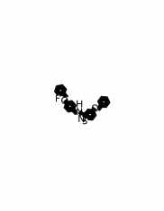 Fc1ccccc1COc1ccc(CNc2nsc3ccc(OCc4ccccc4)cc23)cc1